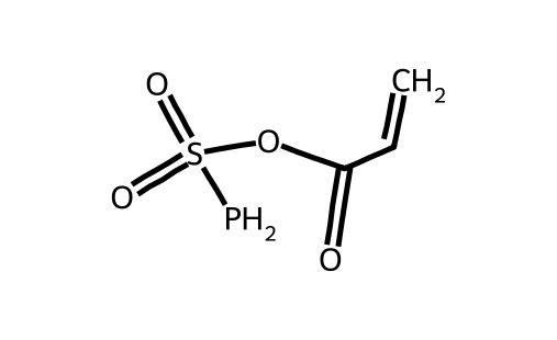 C=CC(=O)OS(=O)(=O)P